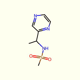 CC(NS(C)(=O)=O)c1cnccn1